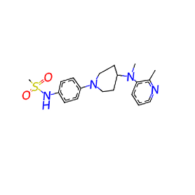 Cc1ncccc1N(C)C1CCN(c2ccc(NS(C)(=O)=O)cc2)CC1